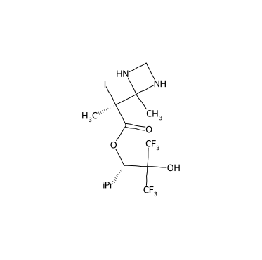 CC(C)[C@H](OC(=O)[C@@](C)(I)C1(C)NCN1)C(O)(C(F)(F)F)C(F)(F)F